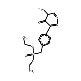 CCOP(=O)(Cc1ccc(C2=NN=CC(C)C2=O)cc1)OCC